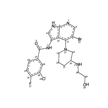 O=C(Nc1c[nH]c2ncc(Br)c(N3CCCC(NCCO)C3)c12)c1ccc(F)c(Cl)c1